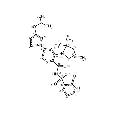 CC(C)Oc1ccn(-c2ccc(C(=O)NS(=O)(=O)c3ncc[nH]c3=O)c(N3C[C@@H](C)CC3(C)C)n2)n1